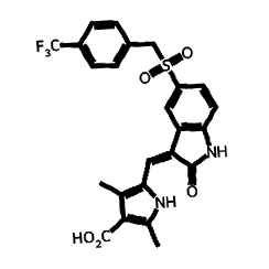 Cc1[nH]c(/C=C2\C(=O)Nc3ccc(S(=O)(=O)Cc4ccc(C(F)(F)F)cc4)cc32)c(C)c1C(=O)O